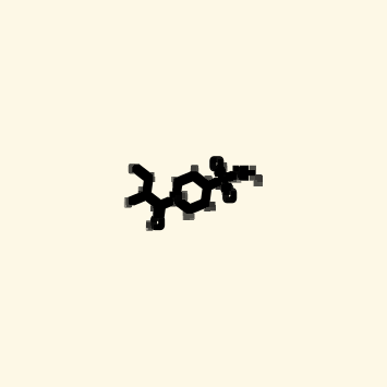 CCC(C)C(=O)N1CCC(S(N)(=O)=O)CC1